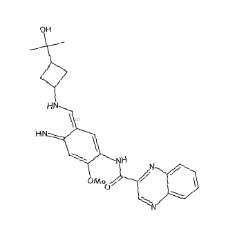 COC1=CC(=N)/C(=C\NC2CC(C(C)(C)O)C2)C=C1NC(=O)c1cnc2ccccc2n1